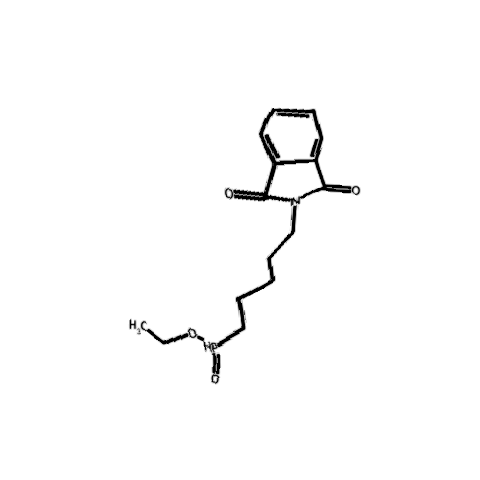 CCO[PH](=O)CCCCCN1C(=O)c2ccccc2C1=O